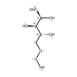 CCCOOC[C@@H](O)[C@@H](O)[C@H](O)C=O